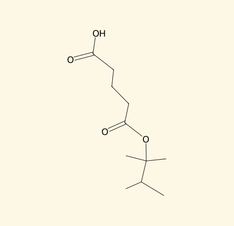 CC(C)C(C)(C)OC(=O)CCCC(=O)O